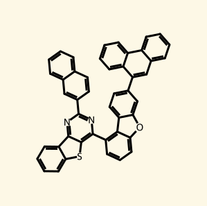 c1ccc2cc(-c3nc(-c4cccc5oc6cc(-c7cc8ccccc8c8ccccc78)ccc6c45)c4sc5ccccc5c4n3)ccc2c1